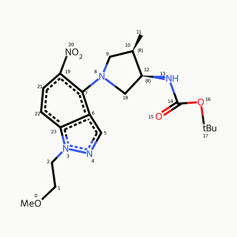 COCCn1ncc2c(N3C[C@@H](C)[C@@H](NC(=O)OC(C)(C)C)C3)c([N+](=O)[O-])ccc21